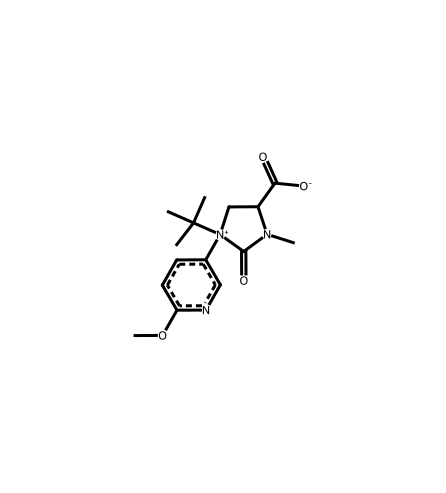 COc1ccc([N+]2(C(C)(C)C)CC(C(=O)[O-])N(C)C2=O)cn1